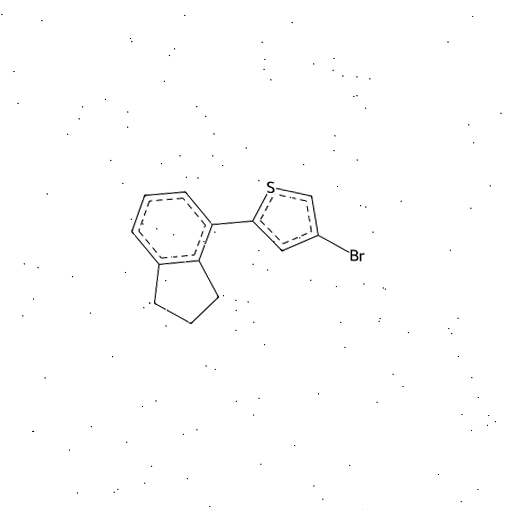 Brc1csc(-c2cccc3c2CC[CH]3)c1